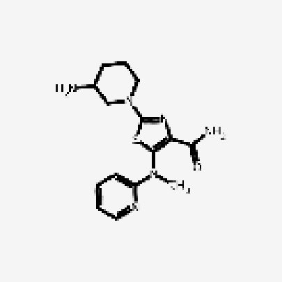 CN(c1ccccn1)c1sc(N2CCCC(N)C2)nc1C(N)=O